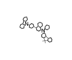 CC1(C)c2ccccc2-c2cc(N(c3ccccc3)c3ccc(-c4ccc(-n5c6ccccc6c6ccccc65)cc4)c4ccccc34)ccc21